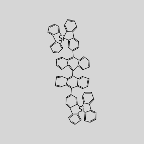 c1ccc2c(c1)-c1ccccc1[Si]21c2ccccc2-c2ccc(-c3c4ccccc4c(-c4c5ccccc5c(-c5ccc6c(c5)[Si]5(c7ccccc7-c7ccccc75)c5ccccc5-6)c5ccccc45)c4ccccc34)cc21